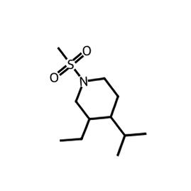 CCC1CN(S(C)(=O)=O)CCC1C(C)C